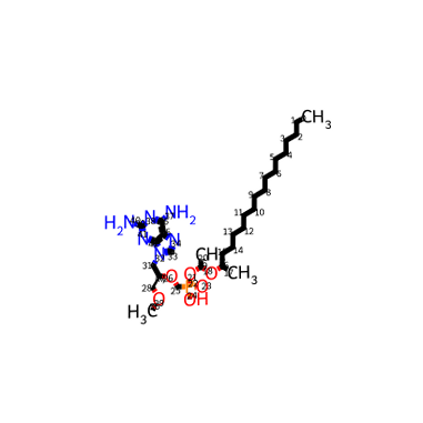 CCCCCCCCCCCCCCCCC(C)OC(C)OP(=O)(O)CO[C@@H](COC)Cn1cnc2c(N)nc(N)nc21